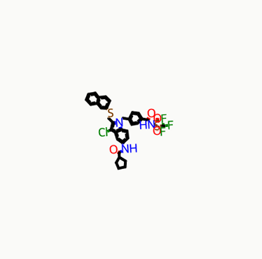 O=C(NS(=O)(=O)C(F)(F)F)c1ccc(Cn2c(CSc3ccc4ccccc4c3)c(Cl)c3cc(NC(=O)C4CCCC4)ccc32)cc1